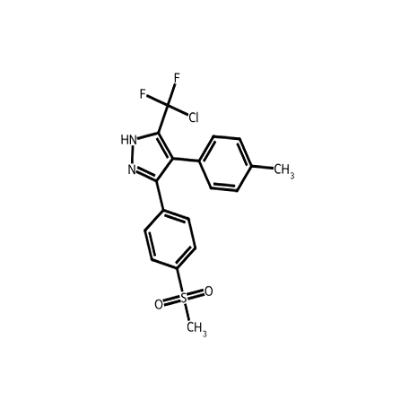 Cc1ccc(-c2c(-c3ccc(S(C)(=O)=O)cc3)n[nH]c2C(F)(F)Cl)cc1